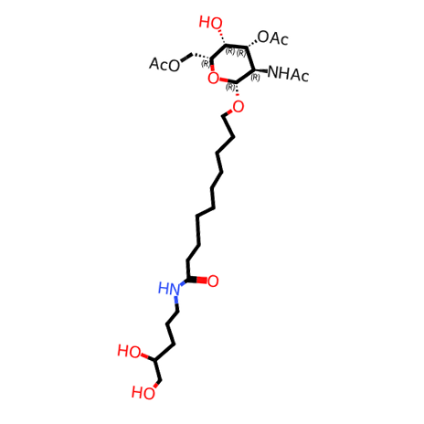 CC(=O)N[C@H]1[C@H](OCCCCCCCCCC(=O)NCCCC(O)CO)O[C@H](COC(C)=O)[C@H](O)[C@@H]1OC(C)=O